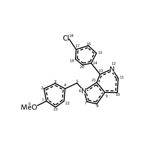 COc1ccc(Cn2ccc3ccnc(-c4ccc(Cl)cc4)c32)cc1